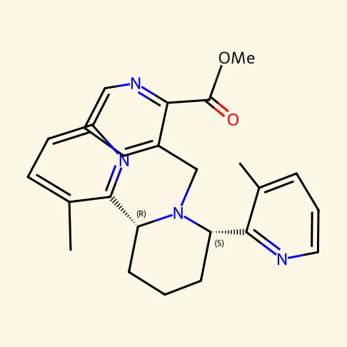 COC(=O)c1ncccc1CN1[C@@H](c2ncccc2C)CCC[C@H]1c1ncccc1C